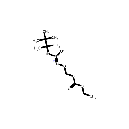 CCOC(=O)OCO/N=[N+](\[O-])NC(C)(C)C(C)(C)C